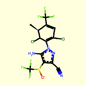 C[C@H]1C(C(F)(F)F)=CC(Cl)=C(n2nc(C#N)c([S+]([O-])C(F)(F)F)c2N)C1Cl